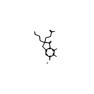 CCCCC1(CCC(C)=O)Cc2cc(OC)c(Cl)c(Cl)c2C1=O